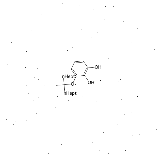 CCCCCCCC(C)(CCCCCCC)Oc1cccc(O)c1O